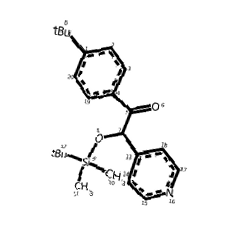 CC(C)(C)c1ccc(C(=O)C(O[Si](C)(C)C(C)(C)C)c2ccncc2)cc1